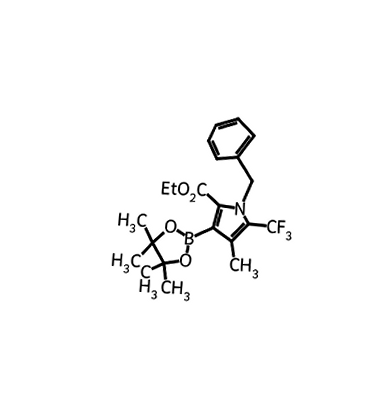 CCOC(=O)c1c(B2OC(C)(C)C(C)(C)O2)c(C)c(C(F)(F)F)n1Cc1ccccc1